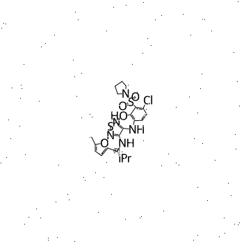 Cc1ccc([C@H](Nc2nsnc2Nc2ccc(Cl)c(S(=O)(=O)N3CCCC3)c2O)C(C)C)o1